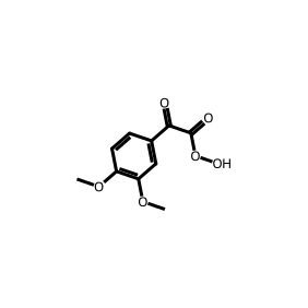 COc1ccc(C(=O)C(=O)OO)cc1OC